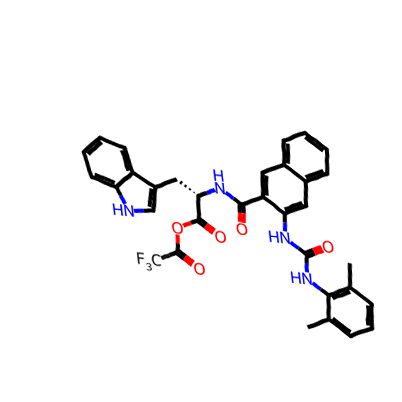 Cc1cccc(C)c1NC(=O)Nc1cc2ccccc2cc1C(=O)N[C@@H](Cc1c[nH]c2ccccc12)C(=O)OC(=O)C(F)(F)F